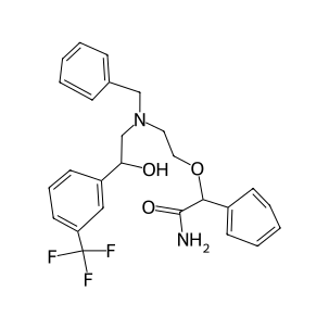 NC(=O)C(OCCN(Cc1ccccc1)CC(O)c1cccc(C(F)(F)F)c1)c1ccccc1